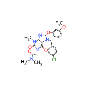 CN(C)C(=O)Cn1c(=O)c2c(n(C)c1=O)NC(Oc1cccc(OC(F)(F)F)c1)N2Cc1ccc(Cl)cc1